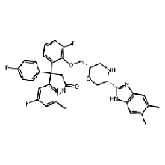 Cc1cc2nc([C@@H]3CO[C@H](COc4c(F)cccc4[C@@](CC(N)=O)(c4ccc(F)cc4)c4cc(F)cc(F)c4)CN3)[nH]c2cc1C